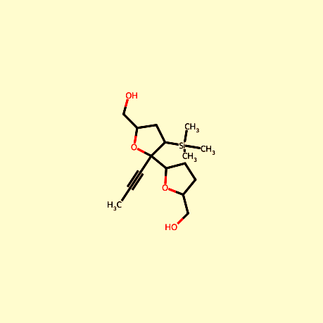 CC#CC1(C2CCC(CO)O2)OC(CO)CC1[Si](C)(C)C